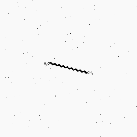 CC=[C]CCCCCCCCCCCCCCCCC